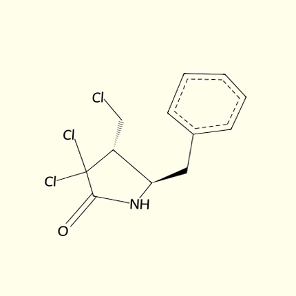 O=C1N[C@H](Cc2ccccc2)[C@@H](CCl)C1(Cl)Cl